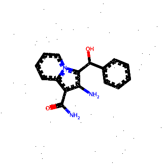 NC(=O)c1c(N)c(C(O)c2ccccc2)n2ccccc12